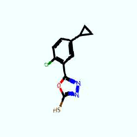 Sc1nnc(-c2cc(C3CC3)ccc2Cl)o1